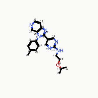 Cc1ccc(-n2c(-c3cnc(NCCOC(C)C)nc3)nc3ccncc32)cc1